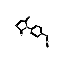 [N-]=[N+]=Nc1ccc(N2C(=O)C=CC2=O)cc1